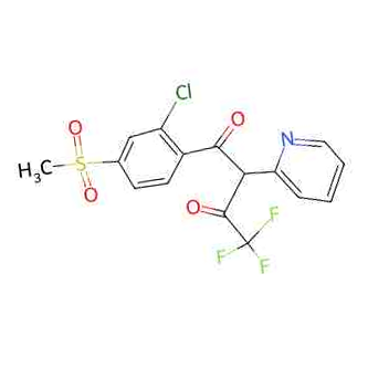 CS(=O)(=O)c1ccc(C(=O)C(C(=O)C(F)(F)F)c2ccccn2)c(Cl)c1